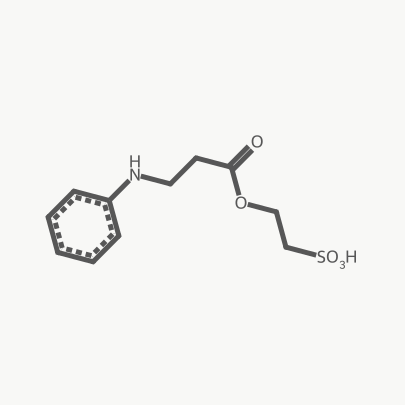 O=C(CCNc1ccccc1)OCCS(=O)(=O)O